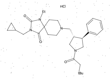 CCN1C(=O)N(CC2CC2)C(=O)C12CCN(C[C@H]1CN(C(=O)CC(C)(C)C)C[C@@H]1c1ccccc1)CC2.Cl